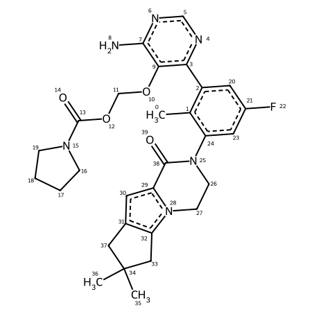 Cc1c(-c2ncnc(N)c2OCOC(=O)N2CCCC2)cc(F)cc1N1CCn2c(cc3c2CC(C)(C)C3)C1=O